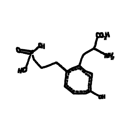 NC(Cc1cc(O)ccc1CCP(=O)(O)O)C(=O)O